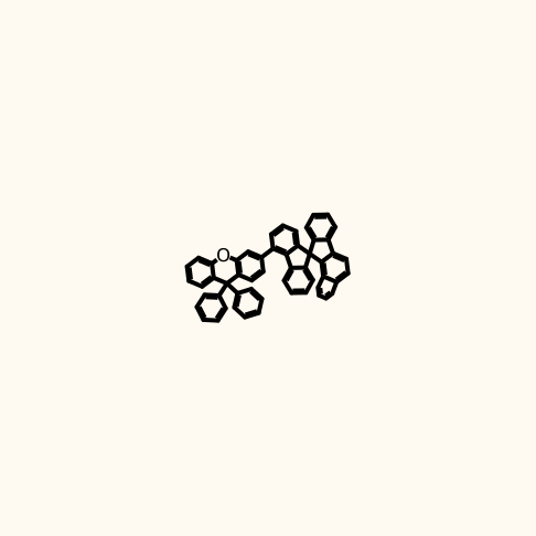 c1ccc(C2(c3ccccc3)c3ccccc3Oc3cc(-c4cccc5c4-c4ccccc4C54c5ccccc5-c5ccc6ccccc6c54)ccc32)cc1